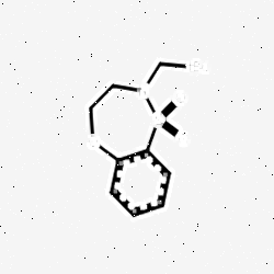 CC(C)(C)CN1CCOc2ccccc2S1(=O)=O